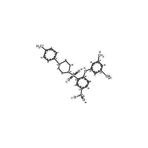 Cc1ccc(N2CCN(S(=O)(=O)c3cc([N+](=O)[O-])ccc3Oc3cc(C)cc(C)c3)CC2)cc1